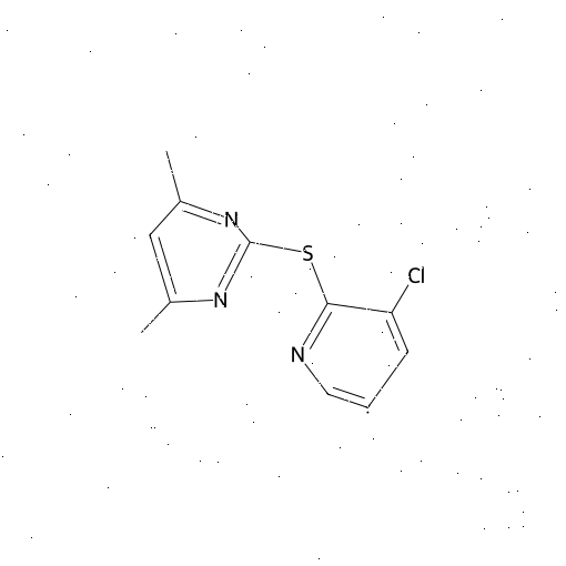 Cc1cc(C)nc(Sc2nc[c]cc2Cl)n1